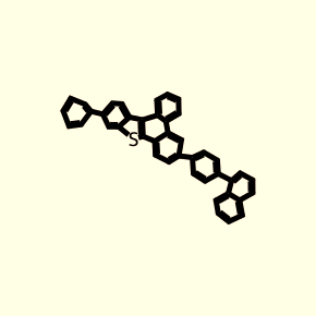 c1ccc(-c2ccc3c(c2)sc2c4ccc(-c5ccc(-c6cccc7ccccc67)cc5)cc4c4ccccc4c32)cc1